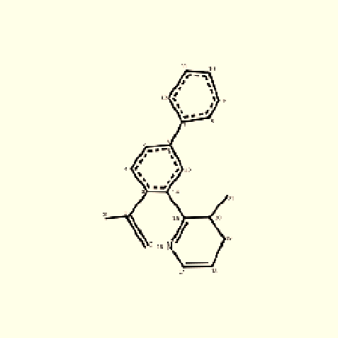 C=C(C)c1ccc(-c2ccccc2)cc1C1=NC=CCC1C